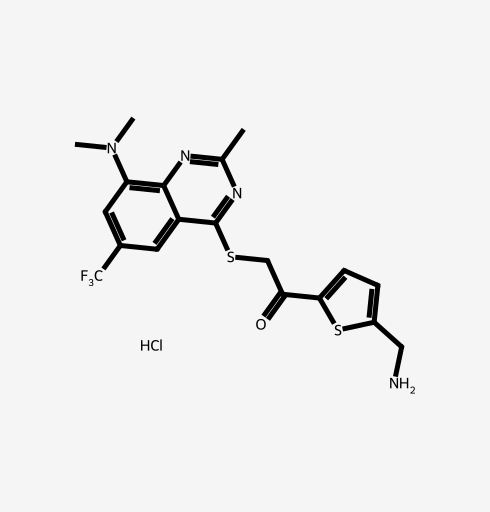 Cc1nc(SCC(=O)c2ccc(CN)s2)c2cc(C(F)(F)F)cc(N(C)C)c2n1.Cl